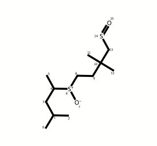 CC(C)CC(C)[S+]([O-])CCC(C)(C)C[S+]=O